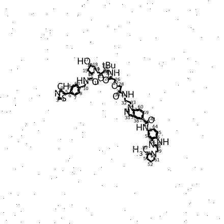 Cc1ncsc1-c1ccc(CNC(=O)[C@@H]2C[C@@H](O)CN2C(=O)[C@@H](NC(=O)COCC(=O)NCCn2ncc3cc(C(=O)Nc4ccc5[nH]c(CN6CCC[C@@H]6C)nc5c4)ccc32)C(C)(C)C)cc1